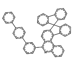 c1ccc(-c2ccc(-c3cccc(-c4nc5ccccc5c5c6c(ccc45)C4(c5ccccc5-c5ccccc54)c4ccccc4-6)c3)cc2)cc1